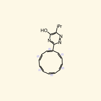 CC(C)c1nnc(C2=C/C=C\C=C/C=C\C=C/C=C\2)nc1O